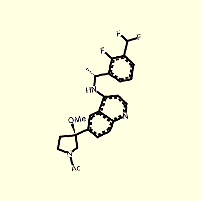 CO[C@]1(c2ccc3nccc(N[C@H](C)c4cccc(C(F)F)c4F)c3c2)CCN(C(C)=O)C1